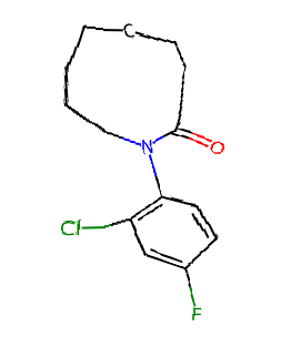 O=C1CCCCCCCN1c1ccc(F)cc1Cl